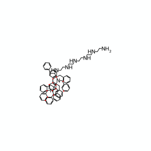 NCCNCCNCCNCCNCCNC(Cc1ccccc1)C(Cc1ccccc1)(Cc1ccccc1)N(Cc1ccccc1)C(Cc1ccccc1)(Cc1ccccc1)C(Cc1ccccc1)(Cc1ccccc1)N(Cc1ccccc1)Cc1ccccc1